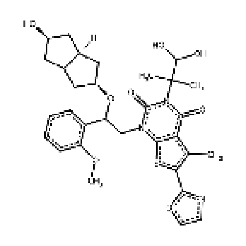 COc1ccccc1C(Cn1c(=O)n(C(C)(C)C(O)O)c(=O)c2c(C)c(-c3ncco3)sc21)O[C@H]1CC2C[C@@H](O)C[C@H]2C1